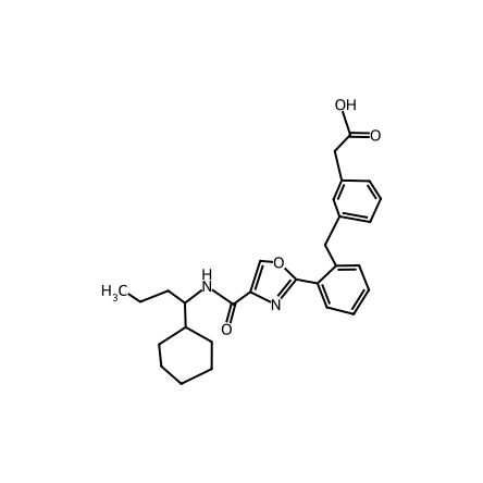 CCCC(NC(=O)c1coc(-c2ccccc2Cc2cccc(CC(=O)O)c2)n1)C1CCCCC1